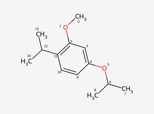 COc1cc(OC(C)C)ccc1C(C)C